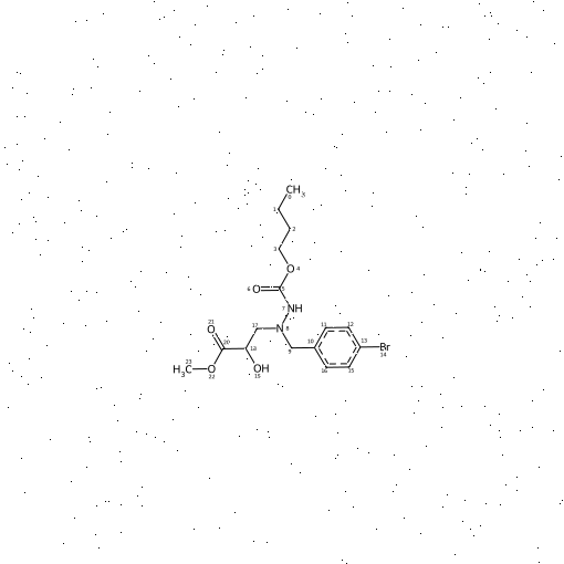 CCCCOC(=O)NN(Cc1ccc(Br)cc1)CC(O)C(=O)OC